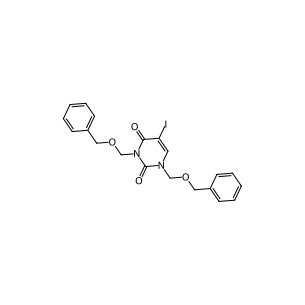 O=c1c(I)cn(COCc2ccccc2)c(=O)n1COCc1ccccc1